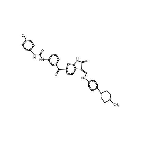 CN1CCN(c2ccc(N/C=C3/C(=O)Nc4cc(C(=O)c5cccc(NC(=O)Nc6ccc(Cl)cc6)c5)ccc43)cc2)CC1